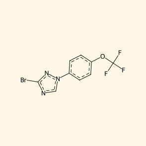 FC(F)(F)Oc1ccc(-n2cnc(Br)n2)cc1